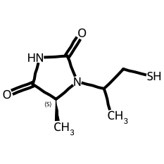 CC(CS)N1C(=O)NC(=O)[C@@H]1C